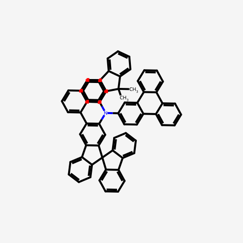 CC1(C)c2ccccc2-c2cccc(N(c3ccc4c5ccccc5c5ccccc5c4c3)c3cc4c(cc3-c3cccc5ccccc35)-c3ccccc3C43c4ccccc4-c4ccccc43)c21